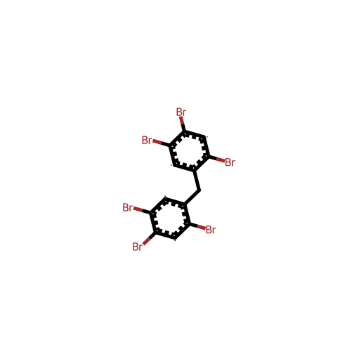 Brc1[c]c(Br)c(Cc2[c]c(Br)c(Br)[c]c2Br)[c]c1Br